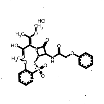 COC(C)=C(C(=O)O)N1C(=O)C(NC(=O)COc2ccccc2)C1SS(=O)(=O)c1ccccc1OC.Cl